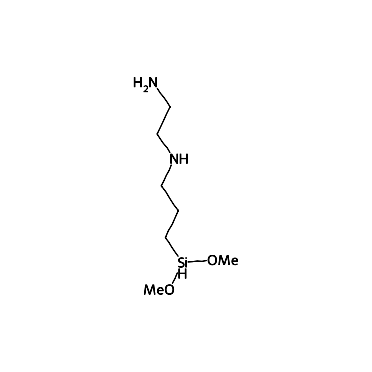 CO[SiH](CCCNCCN)OC